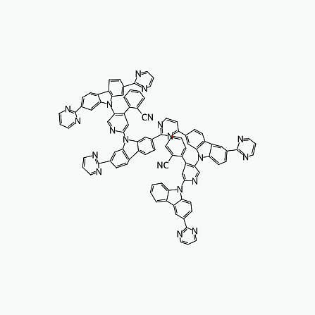 N#Cc1ccccc1-c1cc(-n2c3ccccc3c3cc(-c4ncccn4)ccc32)ncc1-n1c2ccc(-c3ncccn3)cc2c2ccc(-c3ccnc(-c4ccc5c6ccc(-c7ncccn7)cc6n(-c6cc(-c7ccccc7C#N)c(-n7c8cc(-c9ncccn9)ccc8c8ccc(-c9ncccn9)cc87)cn6)c5c4)n3)cc21